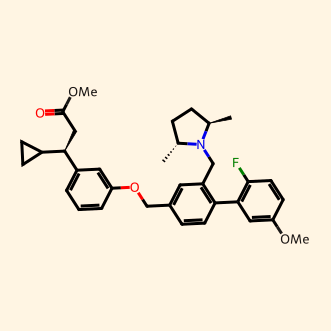 COC(=O)C[C@@H](c1cccc(OCc2ccc(-c3cc(OC)ccc3F)c(CN3[C@H](C)CC[C@H]3C)c2)c1)C1CC1